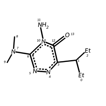 CCC(CC)c1nnc(N(C)C)n(N)c1=O